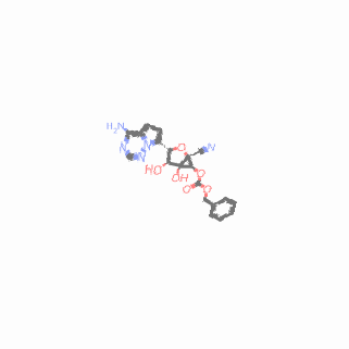 N#C[C@]12O[C@@H](c3ccc4c(N)ncnn34)[C@H](O)[C@@]1(O)C2OC(=O)OCc1ccccc1